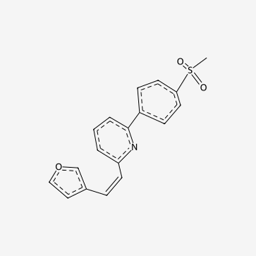 CS(=O)(=O)c1ccc(-c2cccc(/C=C\c3ccoc3)n2)cc1